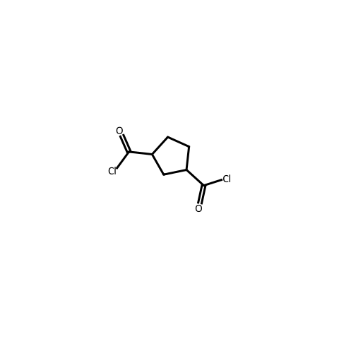 O=C(Cl)C1CCC(C(=O)Cl)C1